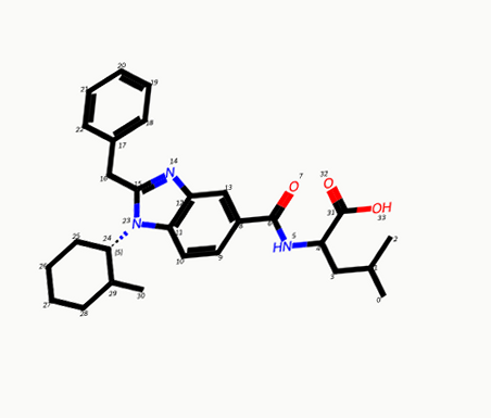 CC(C)CC(NC(=O)c1ccc2c(c1)nc(Cc1ccccc1)n2[C@H]1CCCCC1C)C(=O)O